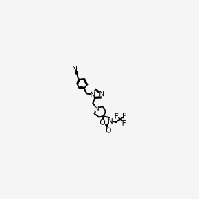 N#Cc1ccc(Cn2cncc2CN2CCC3(CC2)CN(CC(F)(F)F)C(=O)O3)cc1